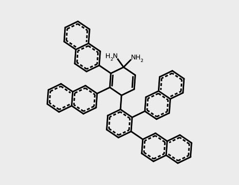 NC1(N)C=CC(c2cccc(-c3ccc4ccccc4c3)c2-c2ccc3ccccc3c2)C(c2ccc3ccccc3c2)=C1c1ccc2ccccc2c1